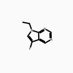 CCn1cc(F)c2cncnc21